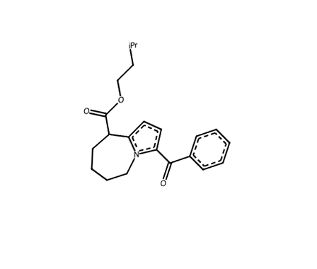 CC(C)CCOC(=O)C1CCCCn2c(C(=O)c3ccccc3)ccc21